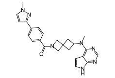 CN(c1ncnc2[nH]ccc12)C1CC2(C1)CN(C(=O)c1ccc(-c3ccn(C)n3)cc1)C2